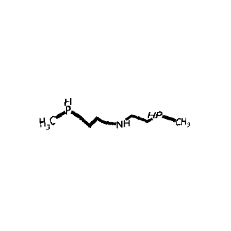 CPCCNCCPC